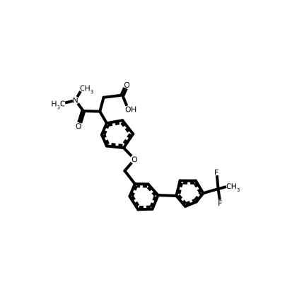 CN(C)C(=O)C(CC(=O)O)c1ccc(OCc2cccc(-c3ccc(C(C)(F)F)cc3)c2)cc1